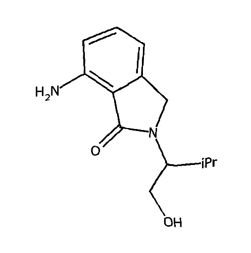 CC(C)C(CO)N1Cc2cccc(N)c2C1=O